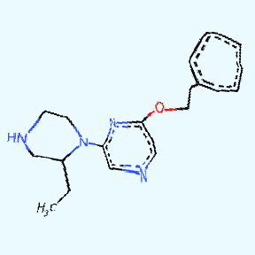 CCC1CNCCN1c1cncc(OCc2ccccc2)n1